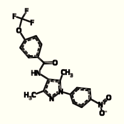 Cc1nn(-c2ccc([N+](=O)[O-])cc2)c(C)c1NC(=O)c1ccc(OC(F)(F)F)cc1